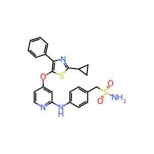 NS(=O)(=O)Cc1ccc(Nc2cc(Oc3sc(C4CC4)nc3-c3ccccc3)ccn2)cc1